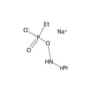 CCCNOP(=O)([O-])CC.[Na+]